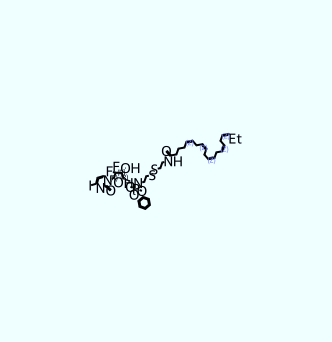 CC/C=C\C/C=C\C/C=C\C/C=C\C/C=C\CCCC(=O)NCCSSCCNP(=O)(OC[C@H]1O[C@@H](n2ccc(I)nc2=O)C(F)(F)[C@@H]1O)Oc1ccccc1